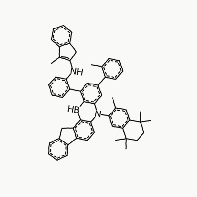 CC1=C(Nc2ccccc2-c2cc(-c3ccccc3C)cc3c2Bc2c(ccc4c2Cc2ccccc2-4)N3c2cc3c(cc2C)C(C)(C)CCC3(C)C)Cc2ccccc21